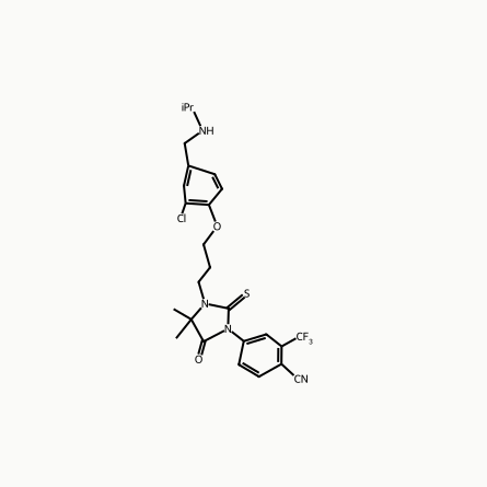 CC(C)NCc1ccc(OCCCN2C(=S)N(c3ccc(C#N)c(C(F)(F)F)c3)C(=O)C2(C)C)c(Cl)c1